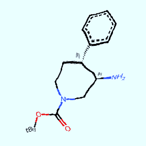 CC(C)(C)OC(=O)N1CC[C@H](c2ccccc2)[C@@H](N)C1